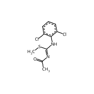 CS/C(=N\C(C)=O)Nc1c(Cl)cccc1Cl